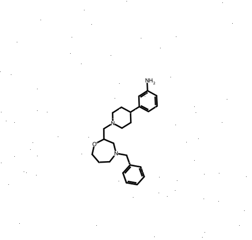 Nc1cccc(C2CCN(CC3CN(Cc4ccccc4)CCCO3)CC2)c1